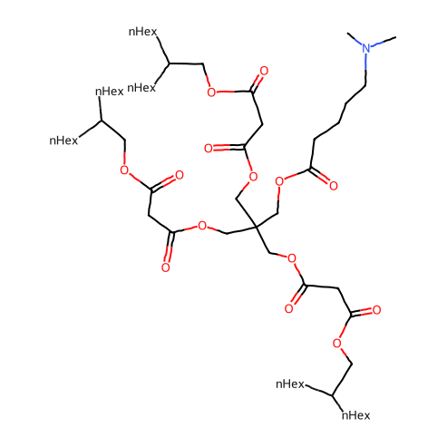 CCCCCCC(CCCCCC)COC(=O)CC(=O)OCC(COC(=O)CCCCN(C)C)(COC(=O)CC(=O)OCC(CCCCCC)CCCCCC)COC(=O)CC(=O)OCC(CCCCCC)CCCCCC